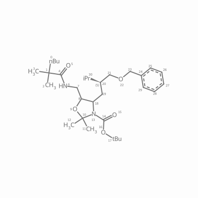 CCCCC(C)(C)C(=O)NCC1OC(C)(C)N(C(=O)OC(C)(C)C)C1C[C@H](COCc1ccccc1)C(C)C